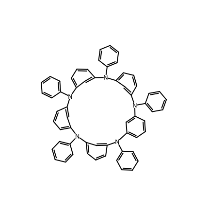 c1ccc(N2c3cccc(c3)N(c3ccccc3)c3cccc(c3)N(c3ccccc3)c3cccc(c3)N(c3ccccc3)c3cccc(c3)N(c3ccccc3)c3cccc2c3)cc1